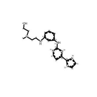 CN(CCO)CCNc1cccc(Nc2nccc(-c3nccs3)n2)c1